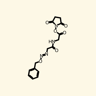 O=C(C/N=N/OCc1ccccc1)NCC(=O)ON1C(=O)CCC1=O